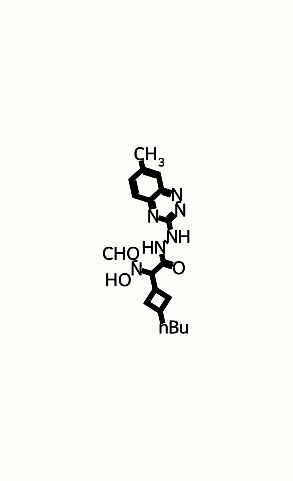 CCCCC1CC(C(C(=O)NNc2nnc3cc(C)ccc3n2)N(O)C=O)C1